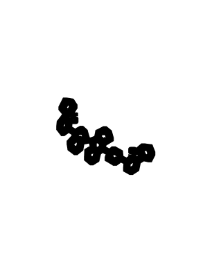 c1ccc2c(c1)sc1c(-c3ccc(-c4c5ccccc5c(-c5ccc(-c6cccc7c6sc6ccccc67)c6ccccc56)c5ccccc45)cc3)cccc12